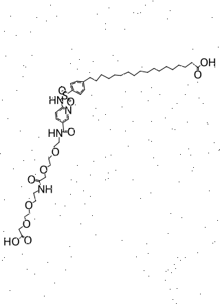 O=C(O)CCCCCCCCCCCCCCCCCc1ccc(S(=O)(=O)Nc2ccc(C(=O)NCCOCCOCC(=O)NCCOCCOCC(=O)O)cn2)cc1